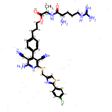 C[C@H](NC(=O)[C@@H](N)CCCNC(=N)N)C(=O)OCCCc1ccc(-c2c(C#N)c(N)nc(SCc3csc(-c4ccc(Cl)cc4)n3)c2C#N)cc1